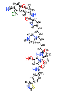 Cc1ncsc1-c1ccc([C@H](C)NC(=O)[C@@H]2C[C@@H](O)CN2C(=O)[C@@H](NC(=O)CCCCC(CCCc2ccc(C(=O)N[C@H]3C(C)(C)[C@H](Oc4ccc(C#N)c(Cl)c4)C3(C)C)nc2)N2CCN(C)CC2)C(C)(C)C)cc1